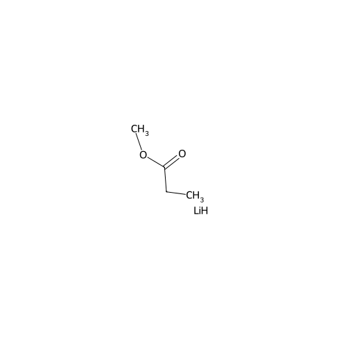 CCC(=O)OC.[LiH]